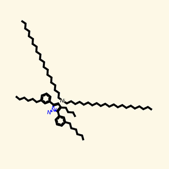 CCCCCCCCCCCCCCCCCCCC[CH2][Ni][CH2]CCCCCCCCCCCCCCCCCCCC.CCCCCCc1cccc(C2=CC(CCCC)=C(c3cccc(CCCCCC)c3)[N+]2=[N-])c1